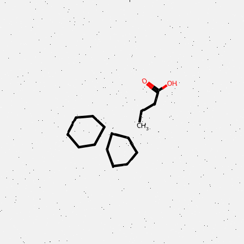 C1CCCCC1.C1CCCCC1.CCCC(=O)O